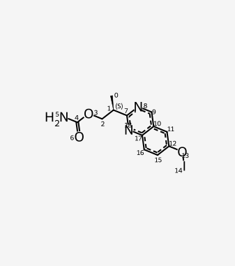 C[C@H](COC(N)=O)c1ncc2cc(OI)ccc2n1